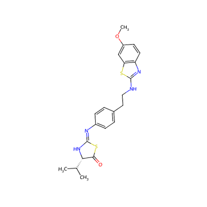 COc1ccc2nc(NCCc3ccc(/N=C4/N[C@@H](C(C)C)C(=O)S4)cc3)sc2c1